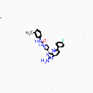 Cc1cccc(NC(=O)NN2CC[C@H](c3nc(N)nc4ccc(-c5ccc(F)cc5)nc34)C2)c1